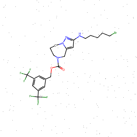 O=C(OCc1cc(C(F)(F)F)cc(C(F)(F)F)c1)N1CCCn2nc(NCCCCCBr)cc2C1